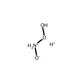 [H+].[O-][NH2+]OO